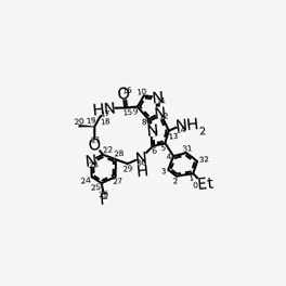 CCc1ccc(-c2c3nc4c(cnn4c2N)C(=O)NC[C@H](C)Oc2ncc(F)cc2CN3)cc1